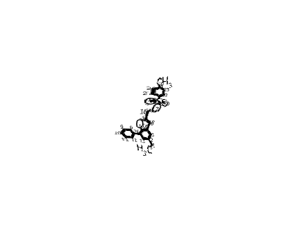 CCc1cc2c(c(-c3ccccc3)c1)OC(COS(=O)(=O)c1ccc(C)cc1)C2